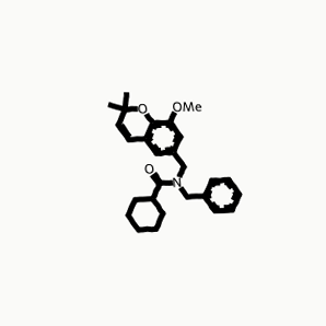 COc1cc(CN(Cc2ccccc2)C(=O)C2CCCCC2)cc2c1OC(C)(C)C=C2